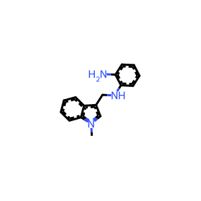 Cn1cc(CNc2ccccc2N)c2ccccc21